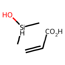 C=CC(=O)O.C[SiH](C)O